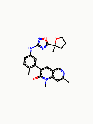 Cc1cc2c(cn1)cc(-c1cc(Nc3noc([C@@]4(C)CCCO4)n3)ccc1C)c(=O)n2C